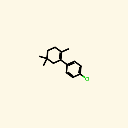 CC1=C(c2ccc(Cl)cc2)CC(C)(C)CC1